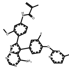 C=C(C)C(=O)Nc1ccc(-c2nn3ncnc(N)c3c2-c2ccc(Oc3nccc(C)n3)c(F)c2)c(OC)c1